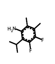 Cc1c(C)c(F)c(F)c(C(C)C)c1N